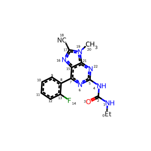 CCNC(=O)Nc1nc(-c2ccccc2F)c2nc(C#N)n(C)c2n1